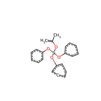 C=C(C)O[Si](Oc1ccccc1)(Oc1ccccc1)Oc1ccccc1